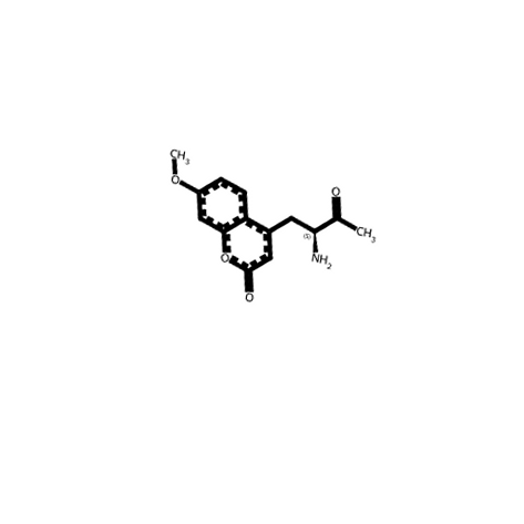 COc1ccc2c(C[C@H](N)C(C)=O)cc(=O)oc2c1